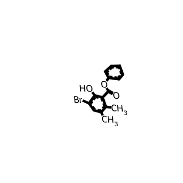 Cc1cc(Br)c(O)c(C(=O)Oc2ccccc2)c1C